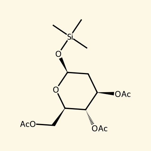 CC(=O)OC[C@H]1O[C@@H](O[Si](C)(C)C)C[C@@H](OC(C)=O)[C@@H]1OC(C)=O